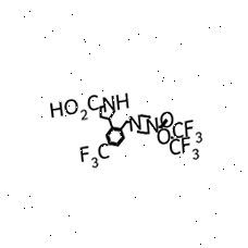 O=C(O)[C@@H]1CC(c2cc(C(F)(F)F)ccc2CN2CCN(C(=O)OC(C(F)(F)F)C(F)(F)F)CC2)CN1